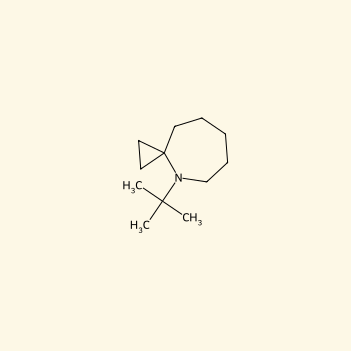 CC(C)(C)N1CCCCCC12CC2